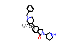 CC1(C)CN(Cc2ccccc2)CCC1c1ccc2c(c1)CN(C1CCCNC1)C2=O